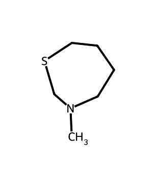 CN1CCCCSC1